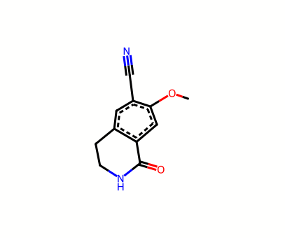 COc1cc2c(cc1C#N)CCNC2=O